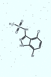 CS(=O)(=O)Nc1n[nH]c2c(Br)ccc(Cl)c12